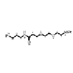 CNCCOCCOCCC(=O)NCCCC(C)C